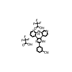 N#Cc1cccc(-c2nc3c([nH]2)-c2ccncc2Nc2ncccc2-3)c1.O=C(O)C(F)(F)F.O=C(O)C(F)(F)F